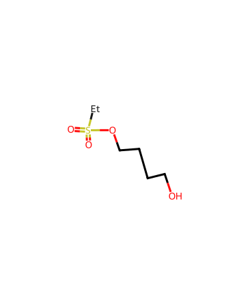 CCS(=O)(=O)OCCCCO